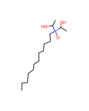 CCCCCCCCCCCC[N+]([O-])(C(C)O)C(C)O